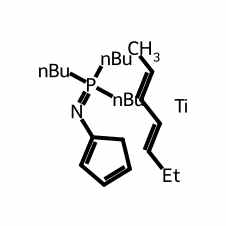 CC=CC=CCC.CCCCP(CCCC)(CCCC)=NC1=CC=CC1.[Ti]